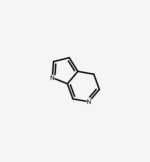 C1=NC=C2N=CC=C2C1